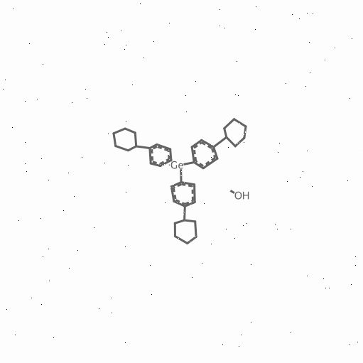 CO.c1c[c]([Ge]([c]2ccc(C3CCCCC3)cc2)[c]2ccc(C3CCCCC3)cc2)ccc1C1CCCCC1